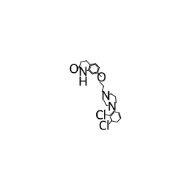 O=C1CCc2ccc(OCCCN3CCCN(C4=C(Cl)C(Cl)CC=C4)CC3)cc2N1